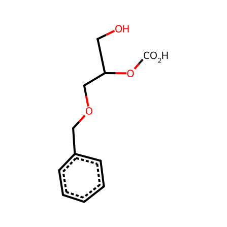 O=C(O)OC(CO)COCc1ccccc1